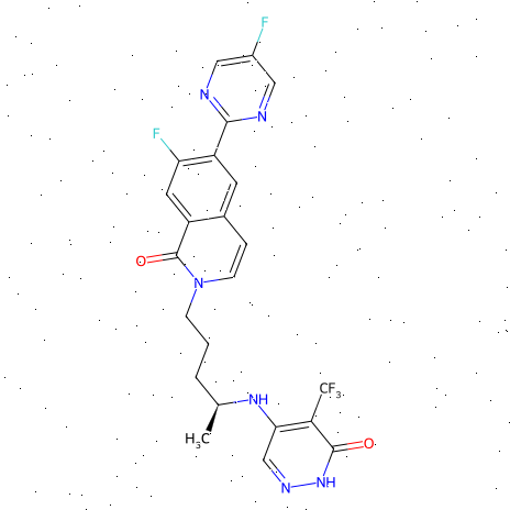 C[C@@H](CCCn1ccc2cc(-c3ncc(F)cn3)c(F)cc2c1=O)Nc1cn[nH]c(=O)c1C(F)(F)F